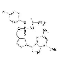 COc1nc(N)nc2c1ncn2[C@H]1C=C[C@@H](COP(=S)(NC(C)C(=O)O)Oc2ccc(Br)cc2)C1